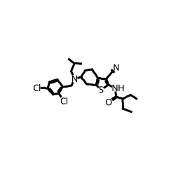 CCC(CC)C(=O)Nc1sc2c(c1C#N)CCC(N(Cc1ccc(Cl)cc1Cl)CC(C)C)C2